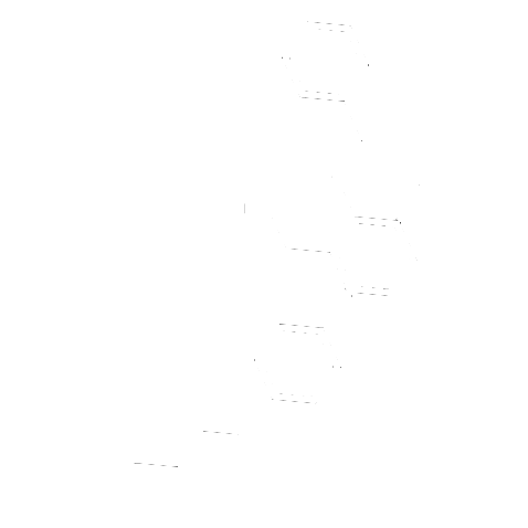 CCc1c(OCc2ccccc2)c(=O)ccn1-c1ccc(OCCCCl)cc1